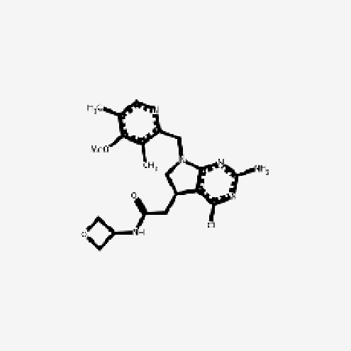 COc1c(C)cnc(CN2CC(CC(=O)NC3COC3)c3c(Cl)nc(N)nc32)c1C